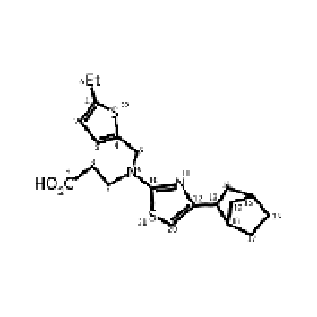 CCc1ccc(CN(CCC(=O)O)c2nc(C3CC4CCC3C4)cs2)s1